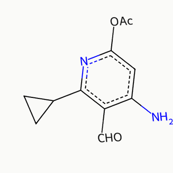 CC(=O)Oc1cc(N)c(C=O)c(C2CC2)n1